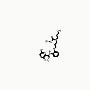 CC(C)(C)OC(=O)N(CCCO)CCCOc1ccccc1NC(=O)c1nc(Br)cnc1N